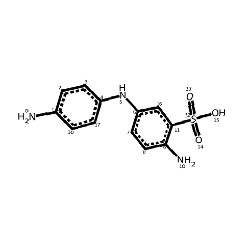 Nc1ccc(Nc2ccc(N)c(S(=O)(=O)O)c2)cc1